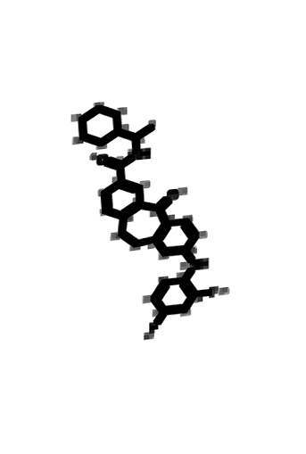 CC(NC(=O)c1ccc2c(c1)C(=O)c1ccc(Nc3ccc(F)cc3F)cc1CC2)C1CCCCC1